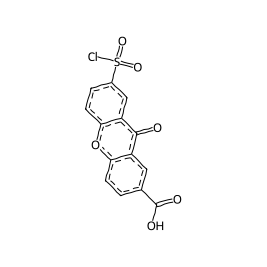 O=C(O)c1ccc2oc3ccc(S(=O)(=O)Cl)cc3c(=O)c2c1